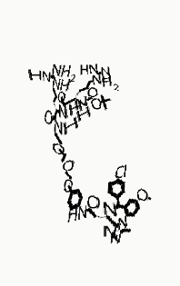 COc1ccc2c(c1)C(c1ccc(Cl)cc1)=N[C@@H](CC(=O)Nc1ccc(OCCOCCOCCNC(=O)[C@H](CCCNC(=N)N)NC(=O)[C@H](CCCNC(=N)N)NC(=O)OC(C)(C)C)cc1)c1nnc(C)n1-2